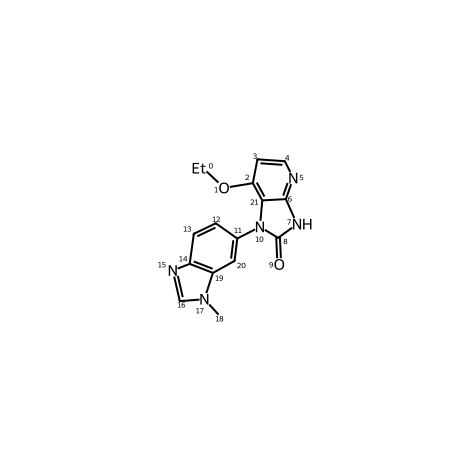 CCOc1ccnc2[nH]c(=O)n(-c3ccc4ncn(C)c4c3)c12